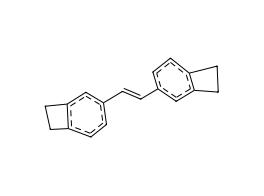 C(=C\c1ccc2c(c1)CC2)/c1ccc2c(c1)CC2